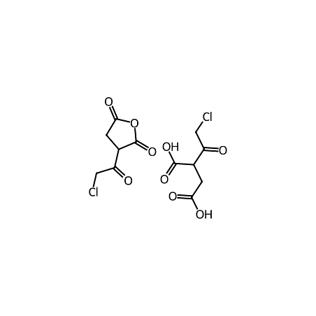 O=C(O)CC(C(=O)O)C(=O)CCl.O=C1CC(C(=O)CCl)C(=O)O1